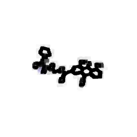 O=C(OCO/N=[N+](/[O-])N1CCCC1)c1cc(O)c2c(c1)C(=O)c1cccc(O)c1C2=O